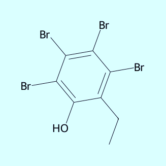 CCc1c(O)c(Br)c(Br)c(Br)c1Br